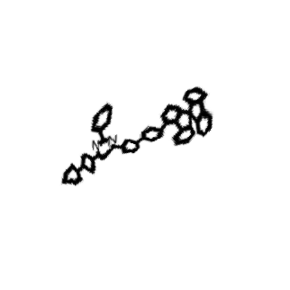 c1ccc(-c2ccc(-c3cc(-c4cccc(-c5ccc(-c6cccc7c6-c6ccccc6C76c7ccccc7-c7ccccc76)cc5)c4)nc(-c4ccccc4)n3)cc2)cc1